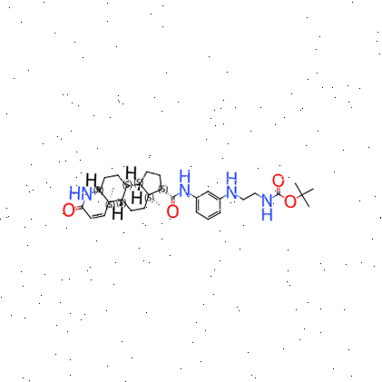 CC(C)(C)OC(=O)NCCNc1cccc(NC(=O)[C@H]2CC[C@H]3[C@@H]4CC[C@H]5NC(=O)C=C[C@]5(C)[C@H]4CC[C@]23C)c1